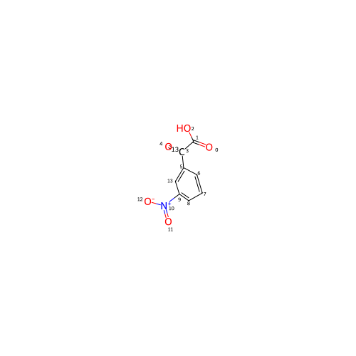 O=C(O)[13C](=O)c1cccc([N+](=O)[O-])c1